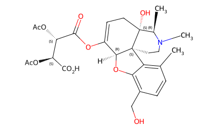 CC(=O)O[C@H](C(=O)O)[C@H](OC(C)=O)C(=O)OC1=CC[C@@]2(O)[C@@H](C)N(C)CC[C@@]23c2c(C)ccc(CO)c2O[C@@H]13